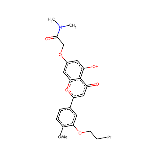 COc1ccc(-c2cc(=O)c3c(O)cc(OCC(=O)N(C)C)cc3o2)cc1OCCC(C)C